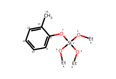 CCO[Si](OCC)(OCC)Oc1ccccc1C